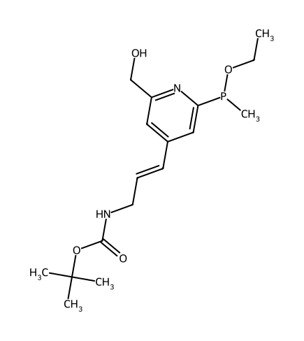 CCOP(C)c1cc(/C=C/CNC(=O)OC(C)(C)C)cc(CO)n1